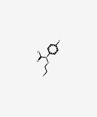 O=C(Cl)N(OCCF)c1ccc(F)cc1